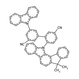 CC1(C)c2ccccc2-c2c1ccc1c3ccccc3n(-c3ccc(C#N)cc3-c3cc(C#N)cc(-n4c5ccccc5c5ccccc54)c3)c21